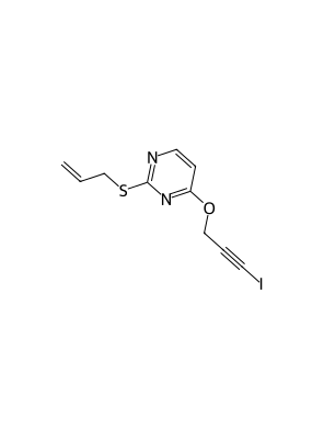 C=CCSc1nccc(OCC#CI)n1